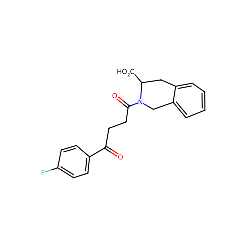 O=C(CCC(=O)N1Cc2ccccc2CC1C(=O)O)c1ccc(F)cc1